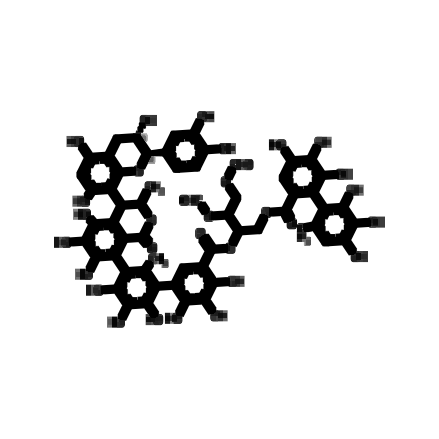 Cc1cc(O)c(O)c(O)c1-c1c(C(=O)OCC(OC(=O)c2cc(-c3c(C)c(-c4c(O)c(O)c(O)c5c4C(=O)OC(C)C5c4c(O)cc(O)c5c4O[C@H](c4ccc(O)c(O)c4)[C@@H](O)C5)c(O)c(O)c3O)c(O)c(O)c2O)C(COC=O)OC=O)cc(O)c(O)c1O